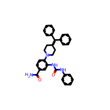 NC(=O)c1ccc(N2CCC(=C(c3ccccc3)c3ccccc3)CC2)c(NC(=O)Nc2ccccc2)c1